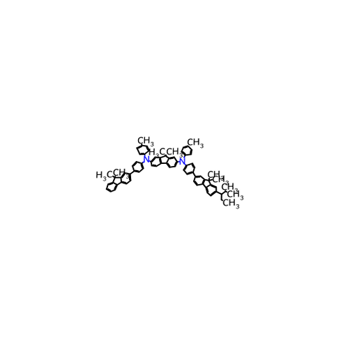 CCC(c1ccc2c(c1)C(C)(C)c1cc(-c3ccc(N(c4ccc(C)cc4)c4ccc5c(c4)C(C)(C)c4cc(N(c6ccc(C)cc6)c6ccc(-c7ccc8c(c7)C(C)(C)c7ccccc7-8)cc6)ccc4-5)cc3)ccc1-2)C(C)C